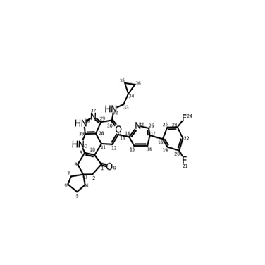 O=C1CC2(CCCC2)CC2=C1C(/C=C/c1ccc(-c3cc(F)cc(F)c3)cn1)c1c(C(=O)NCC3CC3)n[nH]c1N2